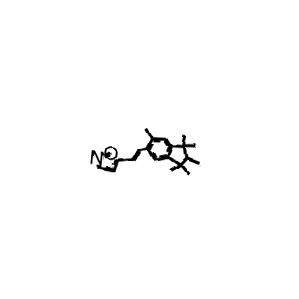 Cc1cc2c(cc1C=Cc1ccno1)C(C)(C)C(C)C2(C)C